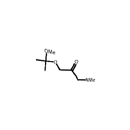 CNCC(=O)COC(C)(C)OC